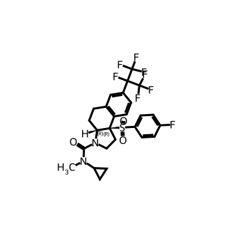 CN(C(=O)N1CC[C@@]2(S(=O)(=O)c3ccc(F)cc3)c3ccc(C(F)(C(F)(F)F)C(F)(F)F)cc3CC[C@@H]12)C1CC1